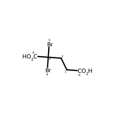 O=C(O)CCC(Br)(Br)C(=O)O